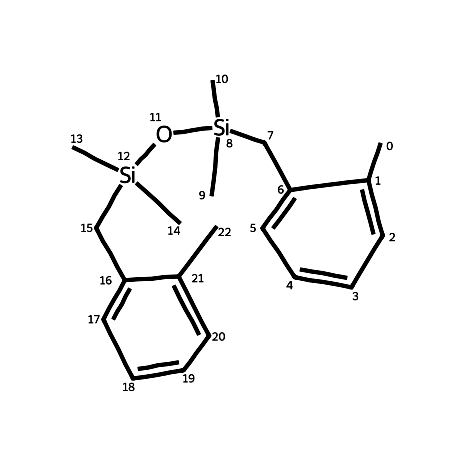 Cc1ccccc1C[Si](C)(C)O[Si](C)(C)Cc1ccccc1C